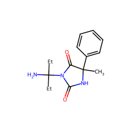 CCC(N)(CC)N1C(=O)NC(C)(c2ccccc2)C1=O